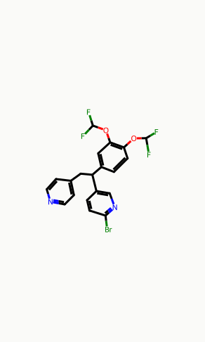 FC(F)Oc1ccc(C(Cc2ccncc2)c2ccc(Br)nc2)cc1OC(F)F